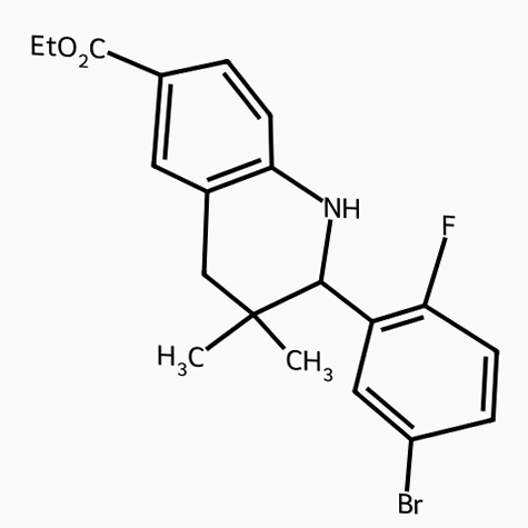 CCOC(=O)c1ccc2c(c1)CC(C)(C)C(c1cc(Br)ccc1F)N2